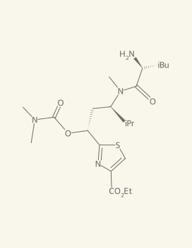 CCOC(=O)c1csc([C@@H](C[C@H](C(C)C)N(C)C(=O)[C@@H](N)[C@@H](C)CC)OC(=O)N(C)C)n1